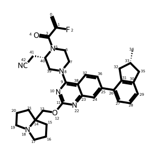 C=C(F)C(=O)N1CCN(c2nc(OCC34CCCN3CCC4)nc3cc(-c4cccc5c4C[C@H](C)C5)ccc23)C[C@@H]1CC#N